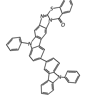 O=c1c2ccccc2sc2nc3cc4c(cc3n12)c1cc(-c2ccc3c(c2)c2ccccc2n3-c2ccccc2)ccc1n4-c1ccccc1